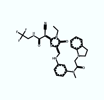 CCn1c(=C(C#N)C(=O)NCC(F)(F)F)sc(=CNc2cccc(N(C)C(=O)CN3CCc4ccccc43)c2)c1=O